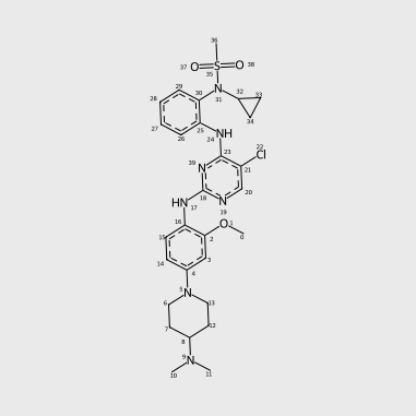 COc1cc(N2CCC(N(C)C)CC2)ccc1Nc1ncc(Cl)c(Nc2ccccc2N(C2CC2)S(C)(=O)=O)n1